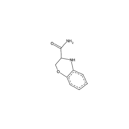 NC(=O)C1COc2ccccc2N1